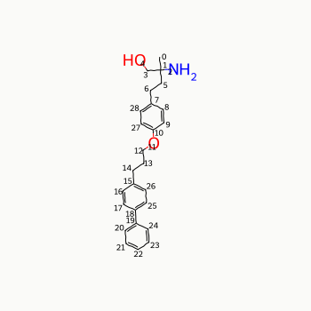 CC(N)(CO)CCc1ccc(OCCCc2ccc(-c3ccccc3)cc2)cc1